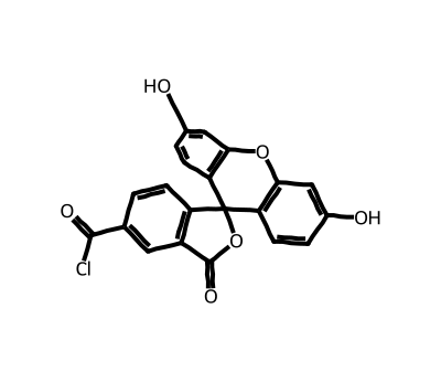 O=C(Cl)c1ccc2c(c1)C(=O)OC21c2ccc(O)cc2Oc2cc(O)ccc21